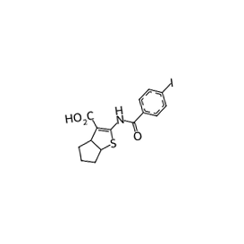 O=C(O)C1=C(NC(=O)c2ccc(I)cc2)SC2CCCC12